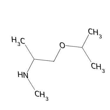 CNC(C)COC(C)C